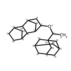 CC(OC1CC2CC1C1C3CCC(C3)C21)C12CC3CC(CC(C3)C1)C2